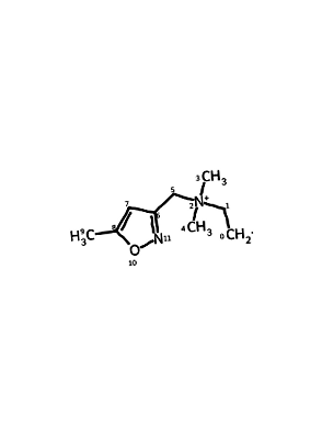 [CH2]C[N+](C)(C)Cc1cc(C)on1